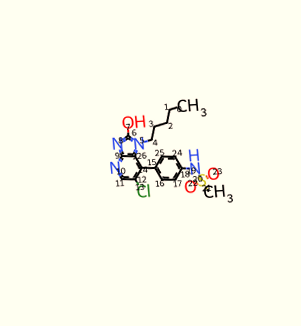 CCCCCn1c(O)nc2ncc(Cl)c(-c3ccc(NS(C)(=O)=O)cc3)c21